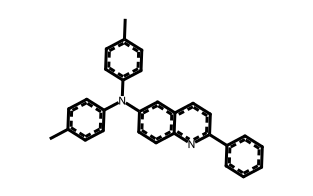 Cc1ccc(N(c2ccc(C)cc2)c2ccc3nc(-c4ccccc4)ccc3c2)cc1